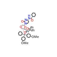 COc1ccc(C(OC[C@]2(CO[Si](C(C)C)(C(C)C)C(C)C)COC[C@H](n3ccc(NC(=O)c4ccccc4)nc3=O)O2)(c2ccccc2)c2ccc(OC)cc2)cc1